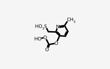 Cc1ccc(OC(=O)OO)c(CS(=O)(=O)O)n1